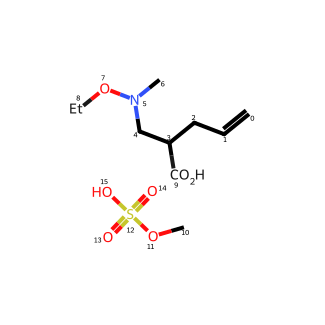 C=CCC(CN(C)OCC)C(=O)O.COS(=O)(=O)O